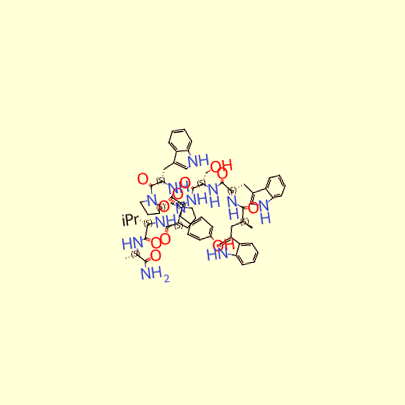 CC(C)[C@H](NC(=O)[C@@H]1CCCN1C(=O)[C@@H]1CCCN1C(=O)[C@H](Cc1c[nH]c2ccccc12)NC(=O)[C@H](Cc1ccc(O)cc1)NC(=O)[C@H](CO)NC(=O)[C@H](Cc1c[nH]c2ccccc12)NC(=O)[C@@H](C)Cc1c[nH]c2ccccc12)C(=O)N[C@@H](C)C(N)=O